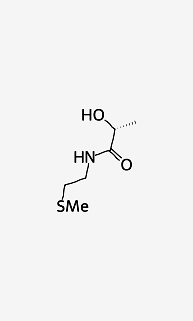 CSCCNC(=O)[C@@H](C)O